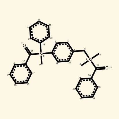 C[Si](C)(Cc1ccc([Si](C)(C(=O)c2ccccc2)c2ccccc2)cc1)C(=O)c1ccccc1